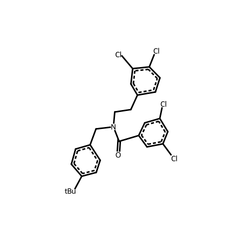 CC(C)(C)c1ccc(CN(CCc2ccc(Cl)c(Cl)c2)C(=O)c2cc(Cl)cc(Cl)c2)cc1